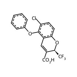 O=C(O)C1=Cc2c(ccc(Cl)c2Oc2ccccc2)O[C@H]1C(F)(F)F